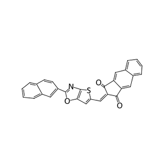 O=C1C(=Cc2cc3oc(-c4ccc5ccccc5c4)nc3s2)C(=O)c2cc3ccccc3cc21